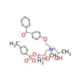 CC(O)C[N+](C)(CCOc1ccc(C(=O)c2ccccc2)cc1)CC(C)O.Cc1ccc(S(=O)(=O)[O-])cc1